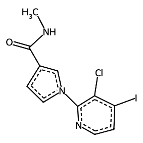 CNC(=O)c1ccn(-c2nccc(I)c2Cl)c1